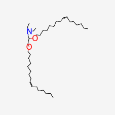 CCCCCC/C=C\CCCCCCCCOCC(CN(CC)CC)OCCCCCCCC/C=C\CCCCCC